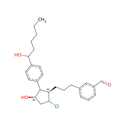 CCCCCC(O)c1ccc(C2[C@@H](CCCc3cccc(C=O)c3)C(Cl)C[C@H]2O)cc1